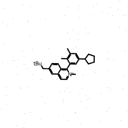 Cc1cc(C2CCCC2)cc(-c2c3ccc(CC(C)(C)C)cc3cc[n+]2C)c1C